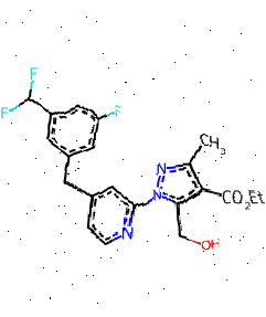 CCOC(=O)c1c(C)nn(-c2cc(Cc3cc(F)cc(C(F)F)c3)ccn2)c1CO